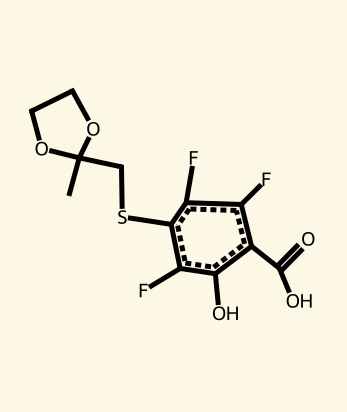 CC1(CSc2c(F)c(O)c(C(=O)O)c(F)c2F)OCCO1